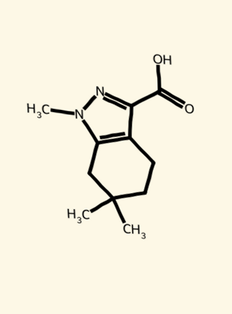 Cn1nc(C(=O)O)c2c1CC(C)(C)CC2